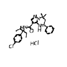 CCC(CC)(NC(=O)c1cnn2c1N[C@H](c1ccccc1)CC2(C)C)c1ccc(Cl)cc1.Cl